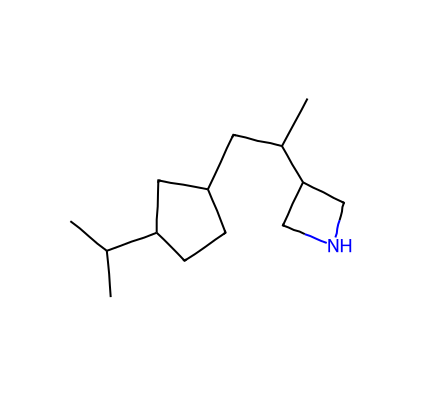 CC(C)C1CCC(CC(C)C2CNC2)C1